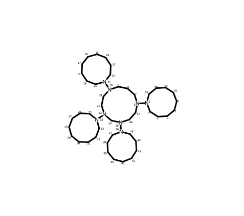 C1CCCCN(N2CCCN(N3CCCCCCCCC3)CCN(N3CCCCCCCCC3)CN(N3CCCCCCCCC3)CC2)CCCC1